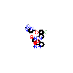 CNC(=O)[C@@H]1CCCCC1C(=O)N1CCc2c(Cl)ccc(OCc3ccc4ncn(C)c4n3)c2[C@H]1CN1CCCC1=O